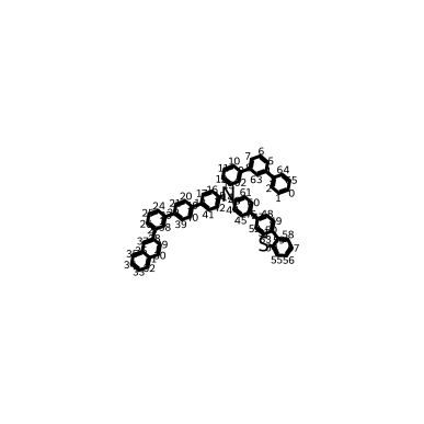 c1ccc(-c2cccc(-c3cccc(N(c4ccc(-c5ccc(-c6cccc(-c7ccc8ccccc8c7)c6)cc5)cc4)c4ccc(-c5ccc6c(c5)sc5ccccc56)cc4)c3)c2)cc1